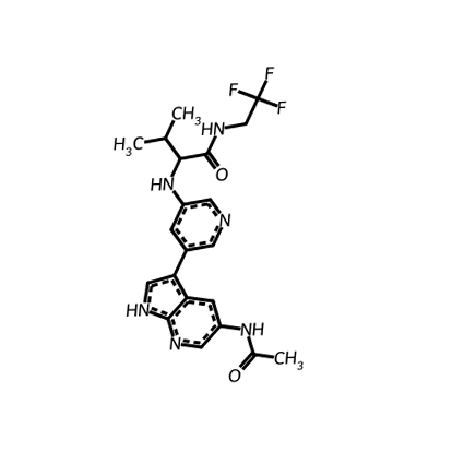 CC(=O)Nc1cnc2[nH]cc(-c3cncc(NC(C(=O)NCC(F)(F)F)C(C)C)c3)c2c1